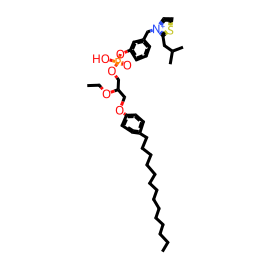 CCCCCCCCCCCCCCc1ccc(OCC(COP(=O)(O)Oc2cccc(C[n+]3ccsc3CC(C)C)c2)OCC)cc1